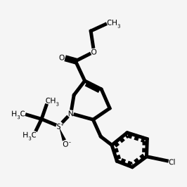 CCOC(=O)C1=CCC(Cc2ccc(Cl)cc2)N([S@@+]([O-])C(C)(C)C)C1